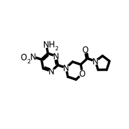 Nc1nc(N2CCOC(C(=O)N3CCCC3)C2)ncc1[N+](=O)[O-]